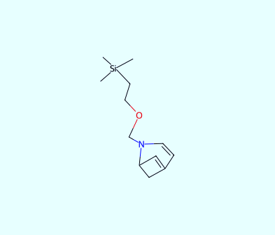 C[Si](C)(C)CCOCN1C=CC2=CC1C2